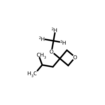 [2H]C([2H])([2H])OC1(CC(C)C)COC1